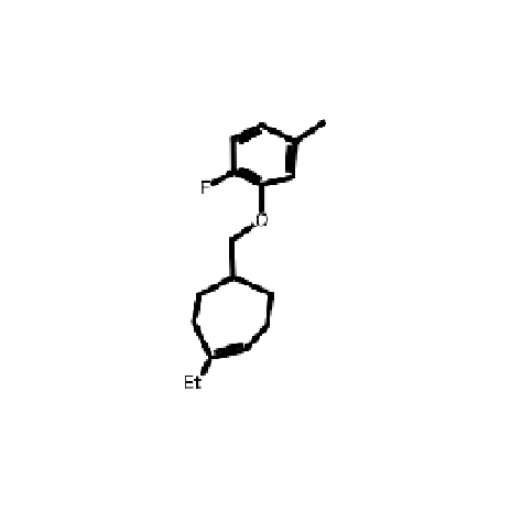 CCC1=CCCC(COc2cc(C)ccc2F)CC1